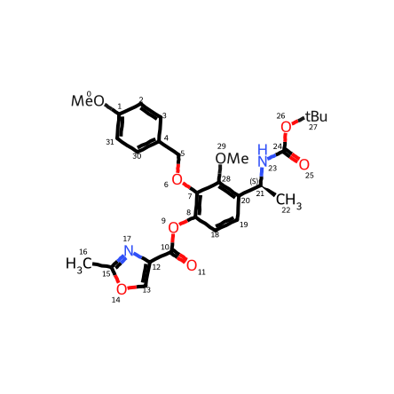 COc1ccc(COc2c(OC(=O)c3coc(C)n3)ccc([C@H](C)NC(=O)OC(C)(C)C)c2OC)cc1